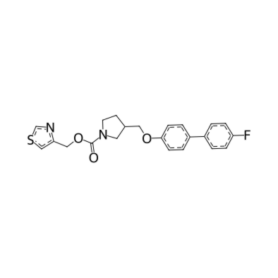 O=C(OCc1cscn1)N1CCC(COc2ccc(-c3ccc(F)cc3)cc2)C1